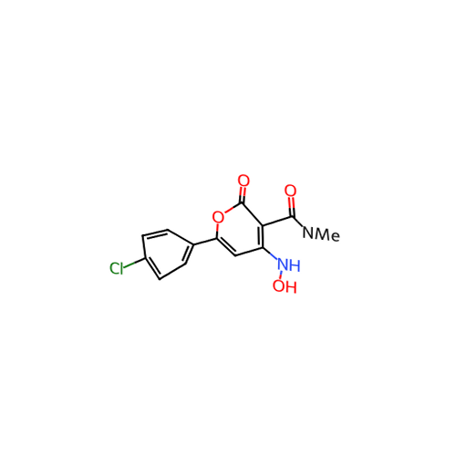 CNC(=O)c1c(NO)cc(-c2ccc(Cl)cc2)oc1=O